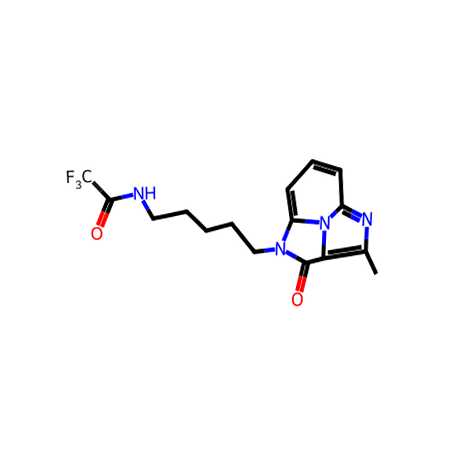 Cc1nc2cccc3n(CCCCCNC(=O)C(F)(F)F)c(=O)c1n23